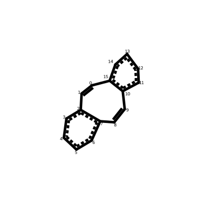 C1=C\c2ccccc2/C=C\c2ccccc2/1